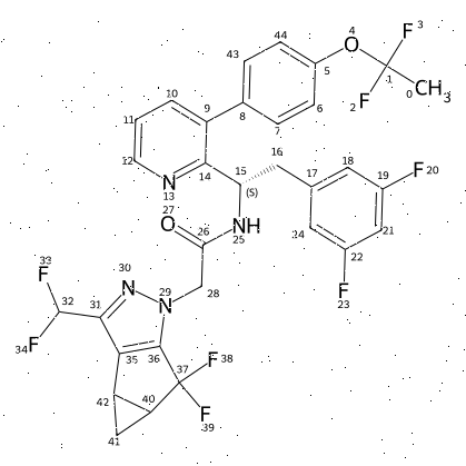 CC(F)(F)Oc1ccc(-c2cccnc2[C@H](Cc2cc(F)cc(F)c2)NC(=O)Cn2nc(C(F)F)c3c2C(F)(F)C2CC32)cc1